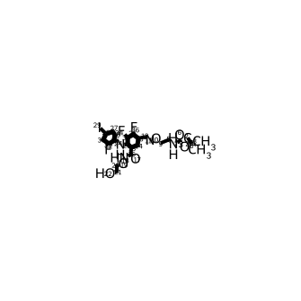 CC(C)(C)OC(=O)NCCON=Cc1cc(C(=O)NOCCO)c(Nc2ccc(I)cc2F)c(F)c1F